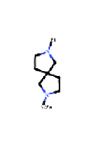 CCN1CCC2(CCN(SC)C2)C1